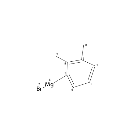 Cc1ccc[c]([Mg][Br])c1C